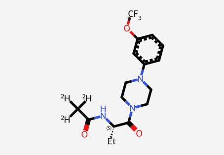 [2H]C([2H])([2H])C(=O)N[C@@H](CC)C(=O)N1CCN(c2cccc(OC(F)(F)F)c2)CC1